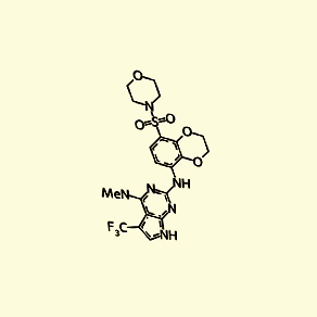 CNc1nc(Nc2ccc(S(=O)(=O)N3CCOCC3)c3c2OCCO3)nc2[nH]cc(C(F)(F)F)c12